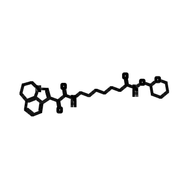 O=C(CCCCCCNC(=O)C(=O)c1cn2c3c(cccc13)CCC2)NOC1CCCCO1